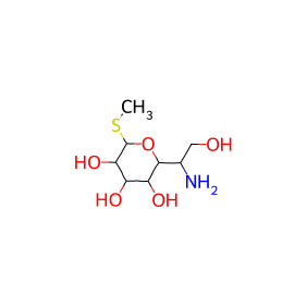 CSC1OC(C(N)CO)C(O)C(O)C1O